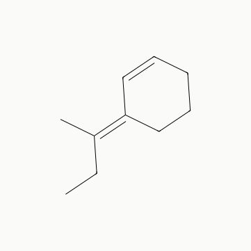 CCC(C)=C1C=CCCC1